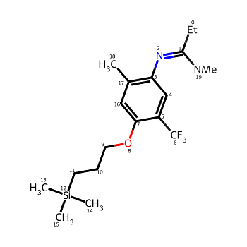 CCC(=Nc1cc(C(F)(F)F)c(OCCC[Si](C)(C)C)cc1C)NC